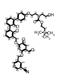 C[Si](C)(C)CCOC(=O)N(CCO)CCOc1ccc(-c2cccc(-c3cccc(COc4nc(OCc5cncc(C#N)c5)c(C=O)cc4Cl)c3Cl)c2Cl)cc1